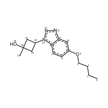 CCCCOc1ccc2c(c1)nnn2C1CC(C)(O)C1